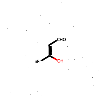 CCC/C(O)=C/C=O